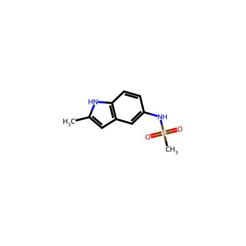 Cc1cc2cc(NS(C)(=O)=O)ccc2[nH]1